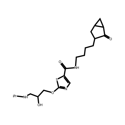 CC(C)NCC(O)COc1ncc(C(=O)NCCCCC2CC3CC3C2=O)s1